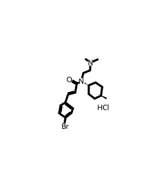 CN(C)CCN(C(=O)C=Cc1ccc(Br)cc1)[C@H]1CC[C@H](C)CC1.Cl